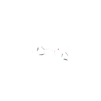 O=C(NCc1c(F)cc(F)cc1F)c1ccccc1Cl